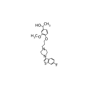 COc1cc(C(C)O)ccc1OCCCN1CCN(c2csc3cc(F)ccc23)CC1